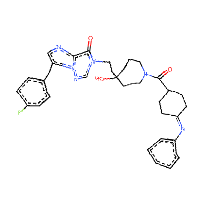 O=C(C1CCC(=Nc2ccccc2)CC1)N1CCC(O)(Cn2cnn3c(-c4ccc(F)cc4)cnc3c2=O)CC1